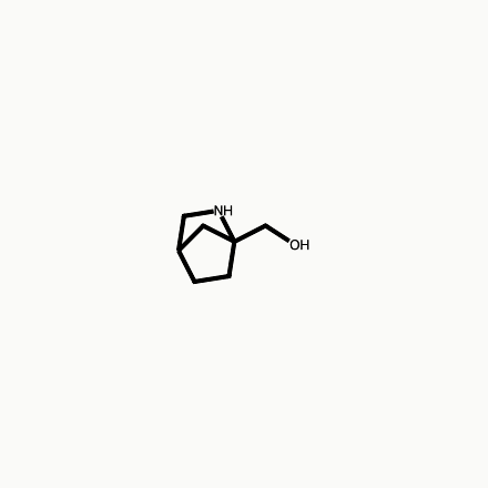 OCC12CCC(CN1)C2